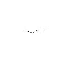 CCO.[LiH]